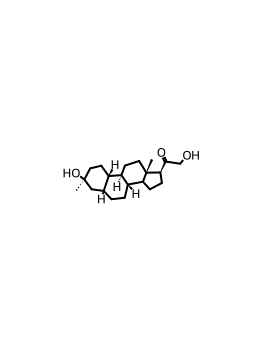 C[C@]1(O)CC[C@H]2[C@H](CC[C@H]3C4CC[C@H](C(=O)CO)[C@@]4(C)CC[C@H]23)C1